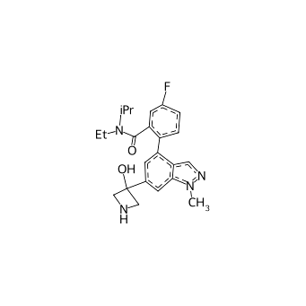 CCN(C(=O)c1cc(F)ccc1-c1cc(C2(O)CNC2)cc2c1cnn2C)C(C)C